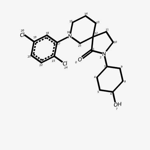 O=C1N(C2CCC(O)CC2)CCC12CCCN(c1cc(Cl)ccc1Cl)C2